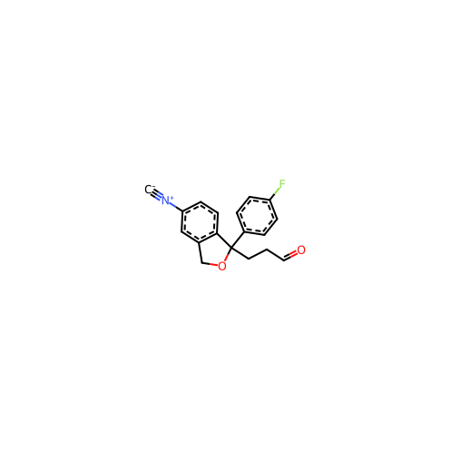 [C-]#[N+]c1ccc2c(c1)COC2(CCC=O)c1ccc(F)cc1